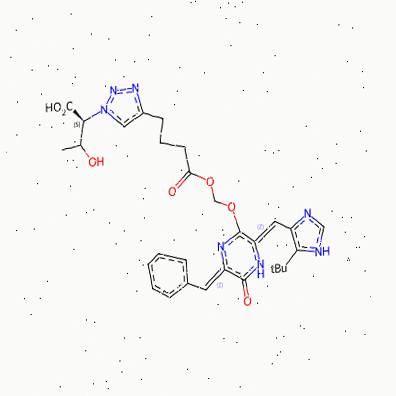 CC(O)[C@@H](C(=O)O)n1cc(CCCC(=O)OCOc2n/c(=C\c3ccccc3)c(=O)[nH]/c2=C\c2nc[nH]c2C(C)(C)C)nn1